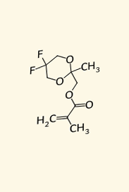 C=C(C)C(=O)OCC1(C)OCC(F)(F)CO1